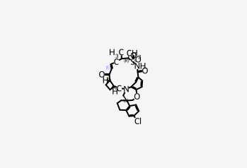 CC1C/C=C/C(=O)[C@@H]2CC[C@H]2CN2C[C@@]3(CCCc4cc(Cl)ccc43)COc3ccc(cc32)C(=O)NS(=O)(=O)[C@@H]1C